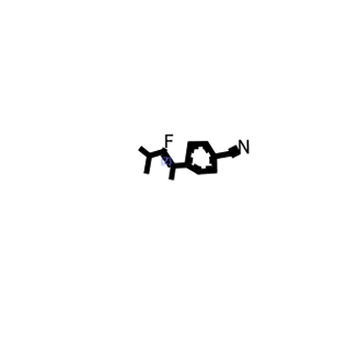 C/C(=C(/F)C(C)C)c1ccc(C#N)cc1